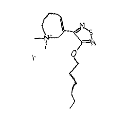 CCCCCCOc1nsnc1C1=CCC[N+](C)(C)C1.[I-]